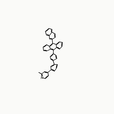 Cc1cc(-c2cccc(-c3ccc(-c4c5ccccc5c(-c5ccc6ccccc6c5)c5ccccc45)cc3)c2)ccn1